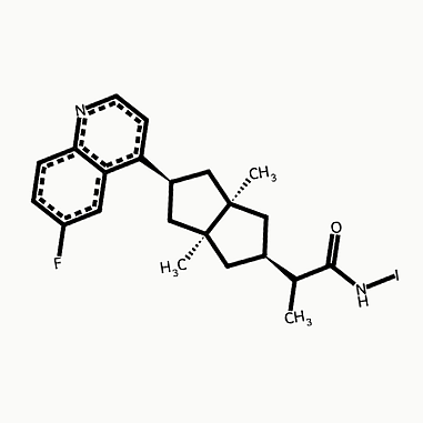 CC(C(=O)NI)[C@@H]1C[C@]2(C)C[C@H](c3ccnc4ccc(F)cc34)C[C@]2(C)C1